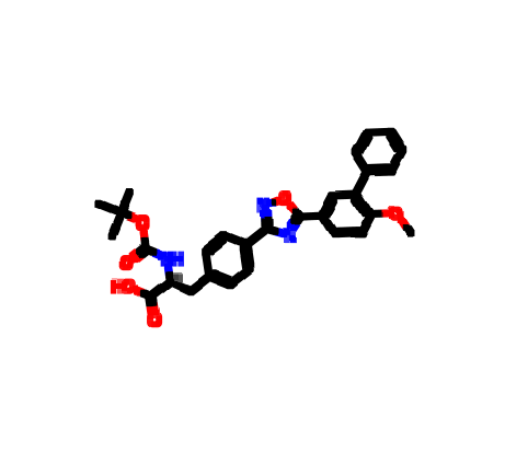 COc1ccc(-c2nc(-c3ccc(C[C@H](NC(=O)OC(C)(C)C)C(=O)O)cc3)no2)cc1-c1ccccc1